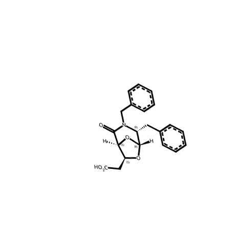 O=C(O)C[C@@H]1O[C@@H]2O[C@@H]1C(=O)N(Cc1ccccc1)[C@@H]2Cc1ccccc1